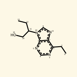 CCc1ncnc2c1ncn2C(CC)CO